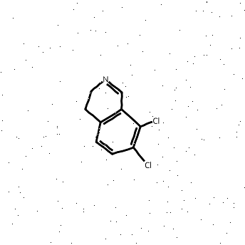 Clc1ccc2c(c1Cl)C=NCC2